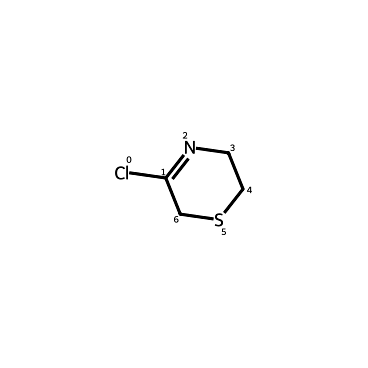 ClC1=NCCSC1